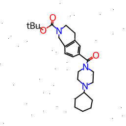 CC(C)(C)OC(=O)N1CCc2cc(C(=O)N3CCN(C4CCCCC4)CC3)ccc2C1